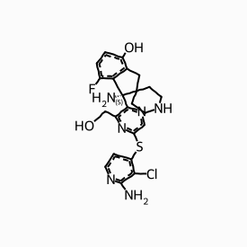 Nc1nccc(Sc2cnc([C@@]3(N)c4c(F)ccc(O)c4CC34CCNCC4)c(CO)n2)c1Cl